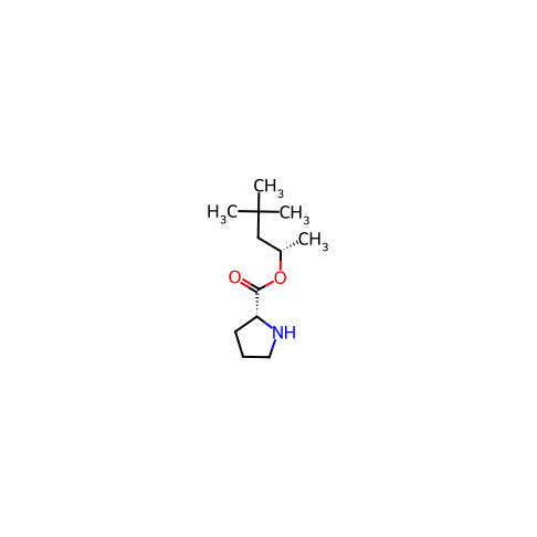 C[C@@H](CC(C)(C)C)OC(=O)[C@H]1CCCN1